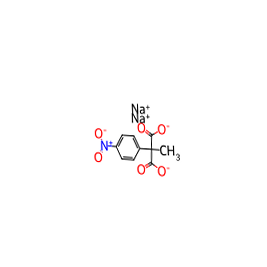 CC(C(=O)[O-])(C(=O)[O-])c1ccc([N+](=O)[O-])cc1.[Na+].[Na+]